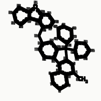 Cc1cc2c(c3ccccc13)-c1ccc(Cc3cccc4oc5ccccc5c34)cc1C2(c1ccccc1)c1ccccc1